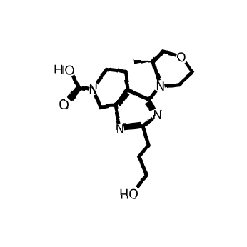 C[C@H]1COCCN1c1nc(CCCO)nc2c1CCN(C(=O)O)C2